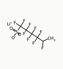 CC(F)C(F)(F)C(F)(F)C(F)(F)C(F)(F)S(=O)(=O)[O-].[Li+]